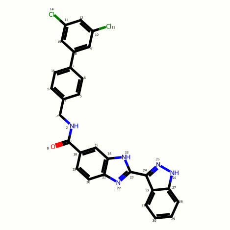 O=C(NCc1ccc(-c2cc(Cl)cc(Cl)c2)cc1)c1ccc2nc(-c3n[nH]c4ccccc34)[nH]c2c1